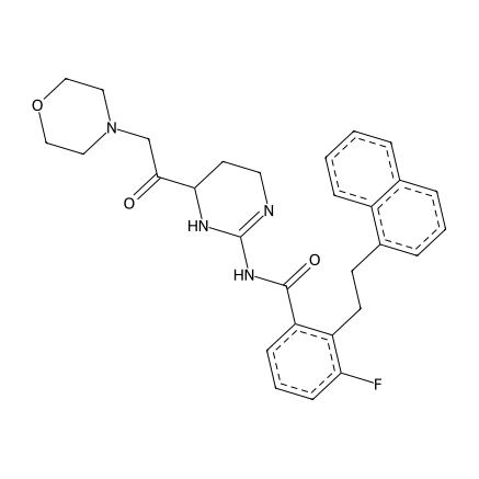 O=C(NC1=NCCC(C(=O)CN2CCOCC2)N1)c1cccc(F)c1CCc1cccc2ccccc12